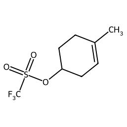 CC1=CCC(OS(=O)(=O)C(F)(F)F)CC1